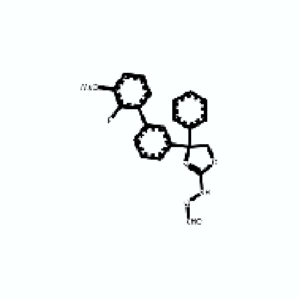 COc1cccc(-c2cccc(C3(c4ccccc4)COC(NOC=O)=N3)c2)c1F